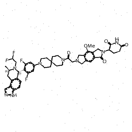 COc1c2c(cc3c1CN(C1CCC(=O)NC1=O)C3=O)CN(CC(=O)N1CCC3(CC1)CCN(c1cc(F)c([C@@H]4c5ccc6[nH]ncc6c5C[C@@H](C)N4CC(F)F)c(F)c1)CC3)C2